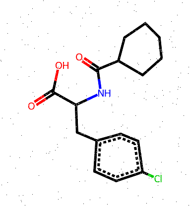 O=C(NC(Cc1ccc(Cl)cc1)C(=O)O)C1CCCCC1